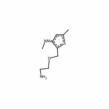 CNC.Cc1ccc(COCCN)s1